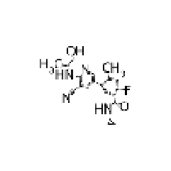 Cc1cc(F)c(C(=O)NC2CC2)cc1-c1cnc(N[C@@H](C)CO)c(C#N)c1